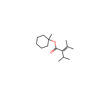 CC(C)=C(C(=O)OC1(C)CCCCC1)C(C)C